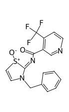 O=C(N=c1n(Cc2ccccc2)cc[s+]1[O-])c1cnccc1C(F)(F)F